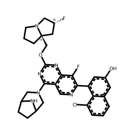 Oc1cc(-c2ncc3c(N4CC5CCC(C4)N5)nc(OC[C@@]45CCCN4C[C@H](F)C5)nc3c2F)c2c(Cl)cccc2c1